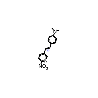 CN(C)c1ccc(/C=C/c2ccc([N+](=O)[O-])nc2)cc1